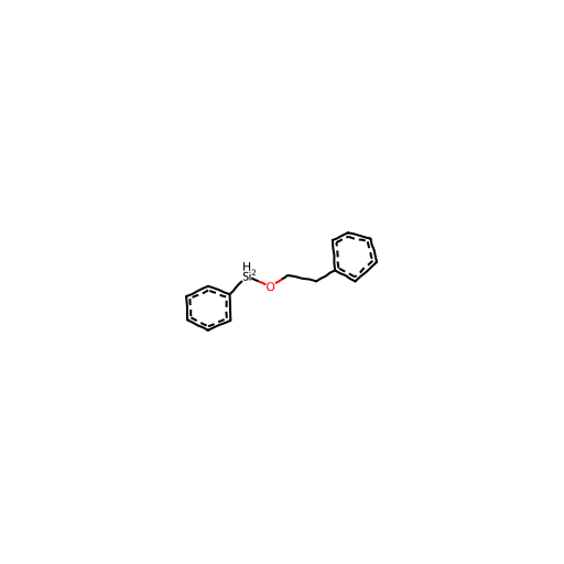 c1ccc(CCO[SiH2]c2ccccc2)cc1